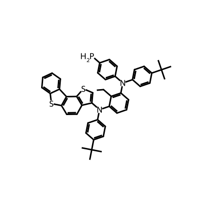 CCc1c(N(c2ccc(P)cc2)c2ccc(C(C)(C)C)cc2)cccc1N(c1ccc(C(C)(C)C)cc1)c1csc2c1ccc1sc3ccccc3c12